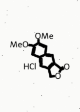 COc1cc2cc3c(cc2cc1OC)C(=O)OC3.Cl